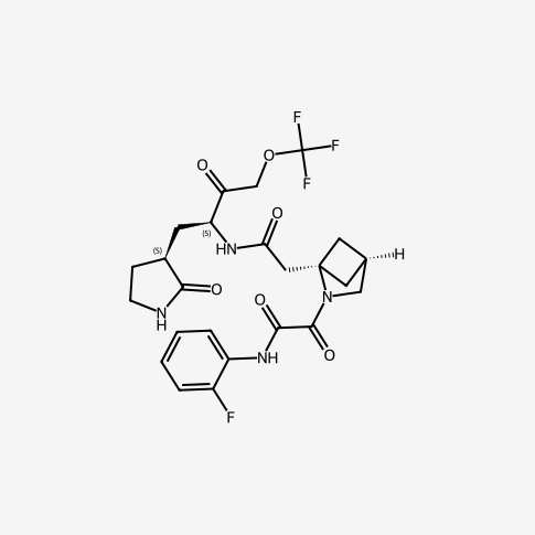 O=C(C[C@]12C[C@H](CN1C(=O)C(=O)Nc1ccccc1F)C2)N[C@@H](C[C@@H]1CCNC1=O)C(=O)COC(F)(F)F